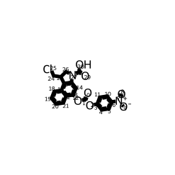 O=C(Oc1ccc([N+](=O)[O-])cc1)Oc1cc2c(c3ccccc13)C(CCl)CN2C(=O)O